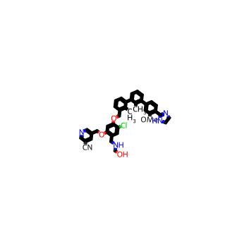 COc1cc(-c2cccc(-c3cccc(COc4cc(OCc5cncc(C#N)c5)c(CNCO)cc4Cl)c3C)c2C)ccc1C1=NCCN1